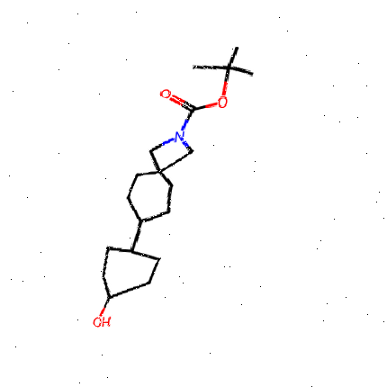 CC(C)(C)OC(=O)N1CC2(CCC(C3CCC(O)CC3)CC2)C1